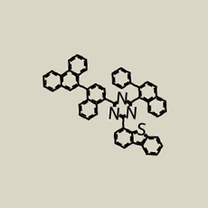 c1ccc(-c2ccc3ccccc3c2-c2nc(-c3ccc(-c4cc5ccccc5c5ccccc45)c4ccccc34)nc(-c3cccc4c3sc3ccccc34)n2)cc1